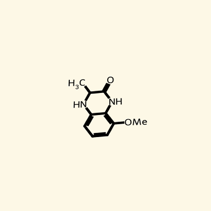 COc1cccc2c1NC(=O)C(C)N2